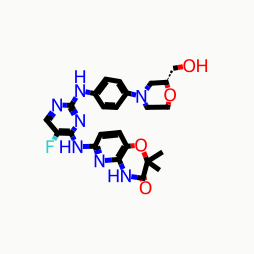 CC1(C)Oc2ccc(Nc3nc(Nc4ccc(N5CCO[C@@H](CO)C5)cc4)ncc3F)nc2NC1=O